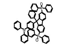 O=P(c1ccccc1)(c1ccccc1)c1ccc2c(c1)C(c1ccccc1)(c1ccc(N(c3ccccc3)c3ccccc3)cc1)c1cc(P(=O)(c3ccccc3)c3ccccc3)ccc1-2